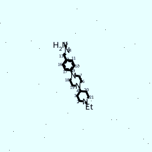 CCN1CCC(N2CCN(c3ccc(C=NN)cc3)CC2)CC1